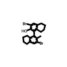 Cc1c(Br)cc2c(c1-c1c(O)c(Br)cc3c1CCCC3)CCCC2